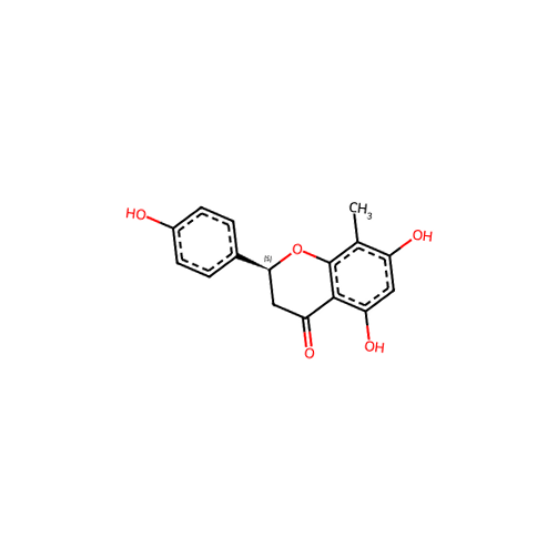 Cc1c(O)cc(O)c2c1O[C@H](c1ccc(O)cc1)CC2=O